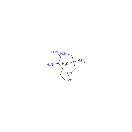 CC(C)(CN)CN.CCCCCCCCCCC(N)CN